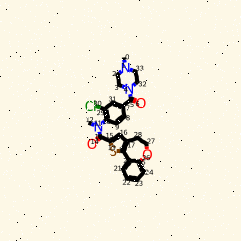 CN1CCN(C(=O)c2ccc(N(C)C(=O)c3cc4c(s3)-c3ccccc3OCC4)c(Cl)c2)CC1